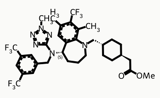 COC(=O)C[C@H]1CC[C@H](CN2CCC[C@H](N(Cc3cc(C(F)(F)F)cc(C(F)(F)F)c3)c3nnn(C)n3)c3cc(C)c(C(F)(F)F)c(C)c32)CC1